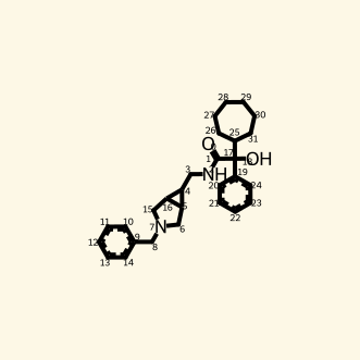 O=C(NCC1C2CN(Cc3ccccc3)CC12)C(O)(c1ccccc1)C1CCCCCC1